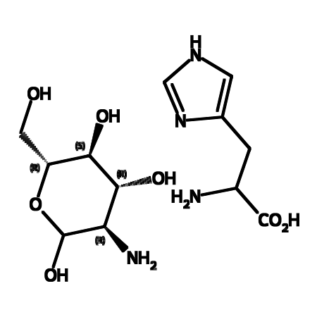 NC(Cc1c[nH]cn1)C(=O)O.N[C@H]1C(O)O[C@H](CO)[C@@H](O)[C@@H]1O